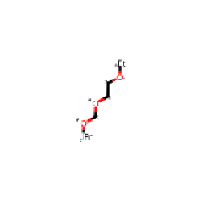 CCOCCOCOC(C)C